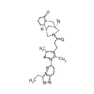 CCc1nnc2ccc(-n3nc(C)c(CCC(=O)N4C[C@H]5C[C@@H](C4)c4cccc(=O)n4C5)c3C)nn12